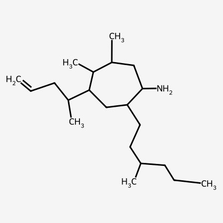 C=CCC(C)C1CC(CCC(C)CCC)C(N)CC(C)C1C